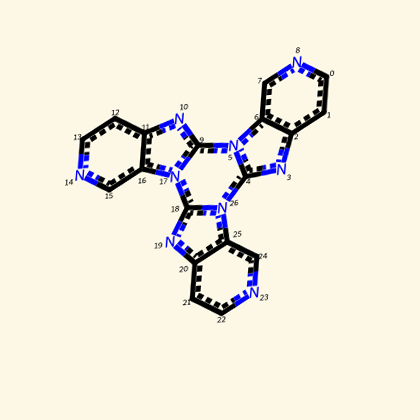 c1cc2nc3n(c2cn1)c1nc2ccncc2n1c1nc2ccncc2n31